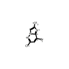 FC(F)(F)c1cn2nc(Cl)cc(Br)c2n1